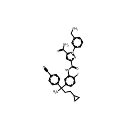 N#Cc1ccc(C(N)(CCC2CC2)c2ccc(F)c(NC(=O)c3cc(C(N)=O)n(-c4cccc(CN)c4)n3)c2)cc1